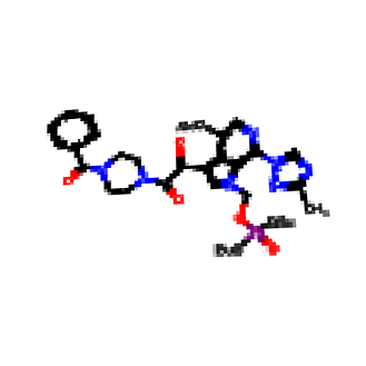 COc1cnc(-n2cnc(C)n2)c2c1c(C(=O)C(=O)N1CCN(C(=O)c3ccccc3)CC1)cn2COP(=O)(OCC(C)C)OCC(C)C